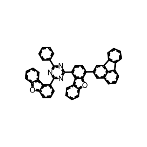 c1ccc(-c2nc(-c3cccc4oc5ccccc5c34)nc(-c3ccc(-c4cc5c6c(cccc6c4)-c4ccccc4-5)c4oc5ccccc5c34)n2)cc1